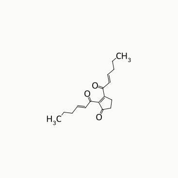 CCC/C=C/C(=O)C1=C(C(=O)/C=C/CCC)C(=O)CC1